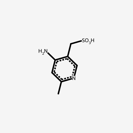 Cc1cc(N)c(CS(=O)(=O)O)cn1